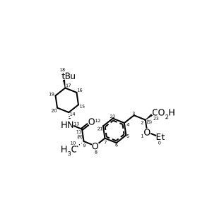 CCO[C@@H](Cc1ccc(O[C@H](C)C(=O)N[C@H]2CC[C@H](C(C)(C)C)CC2)cc1)C(=O)O